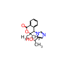 CC(O)c1cncn1C1c2ccccc2C(=O)OC1(C)C